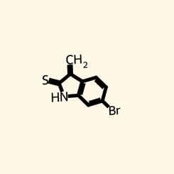 C=C1C(=S)Nc2cc(Br)ccc21